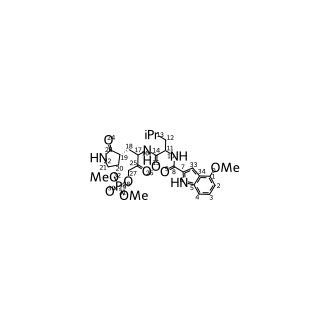 COc1cccc2[nH]c(C(=O)NC(CC(C)C)C(=O)NC(C[C@@H]3CCNC3=O)C(=O)COP(=O)(OC)OC)cc12